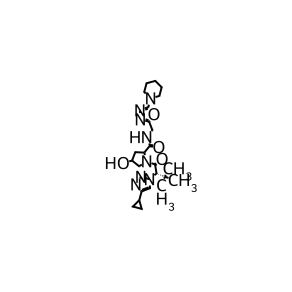 CC(C)(C)[C@@H](C(=O)N1CC(O)CC1C(=O)NCc1nnc(N2CCCCC2)o1)n1cc(C2CC2)nn1